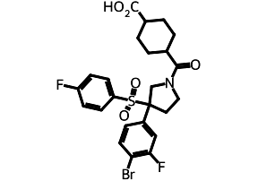 O=C(O)C1CCC(C(=O)N2CCC(c3ccc(Br)c(F)c3)(S(=O)(=O)c3ccc(F)cc3)C2)CC1